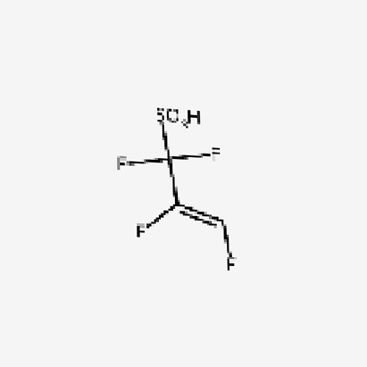 O=S(=O)(O)C(F)(F)C(F)=CF